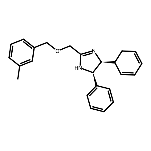 Cc1cccc(COCC2=N[C@@H](C3C=CC=CC3)[C@@H](c3ccccc3)N2)c1